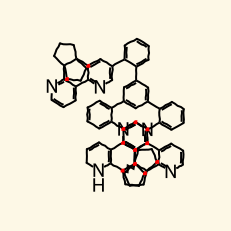 C1=CC2=C(NC1)C13CCCC1(CCC3)c1cc(-c3ccccc3-c3cc(-c4ccccc4-c4cnc5c(c4)C46CCCC4(CCC6)c4ncccc4-5)cc(-c4ccccc4-c4cnc5c(c4)C46CCCC4(CCC6)c4ncccc4-5)c3)cnc12